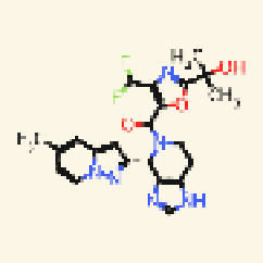 CC(C)(O)c1nc(C(F)F)c(C(=O)N2CCc3[nH]cnc3[C@@H]2c2cc3cc(C(F)(F)F)ccn3n2)o1